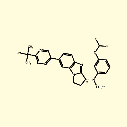 CCOC(=O)N(c1cccc(OC(F)F)c1)[C@@H]1CCn2c1nc1ccc(-c3cnc(C(C)(C)O)nc3)cc12